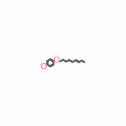 CCC=CCCCCCOc1ccc(OC)cc1